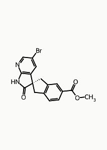 COC(=O)c1ccc2c(c1)C[C@]1(C2)C(=O)Nc2ncc(Br)cc21